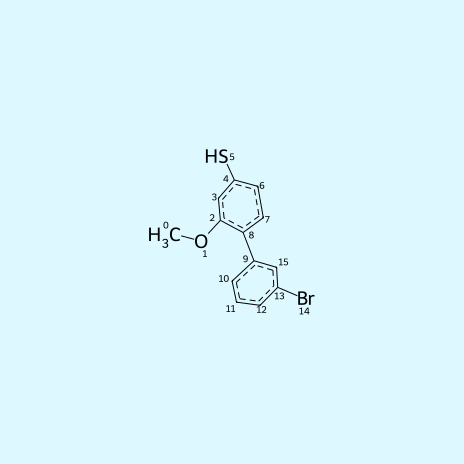 COc1cc(S)ccc1-c1cccc(Br)c1